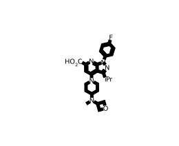 CC(C)c1nn(-c2ccc(F)cc2)c2nc(C(=O)O)cc(N3CCC(N(C)C4COC4)CC3)c12